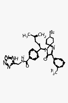 C=C(C)CC[C@H](c1ccc(C(=O)NCc2nnn[nH]2)cc1)N1C(=O)C(c2cccc(C(F)(F)F)c2)=NC12CCC(C(C)(C)C)CC2